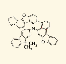 CC1(C)c2ccccc2-c2ccc(N(c3ccc4c(c3)oc3ccccc34)c3c(-c4ccccc4)ccc4oc5c6ccccc6ccc5c34)cc21